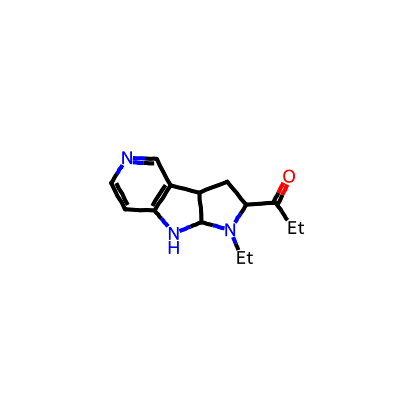 CCC(=O)C1CC2c3cnccc3NC2N1CC